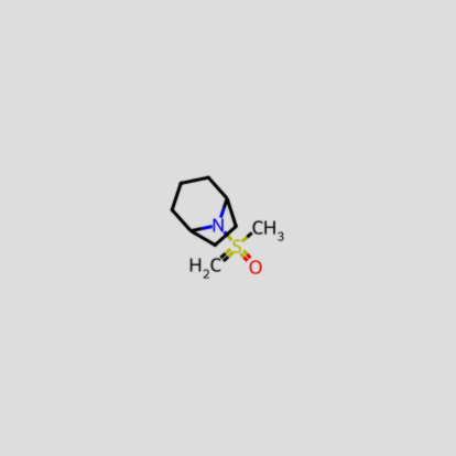 C=S(C)(=O)N1C2CCCC1CC2